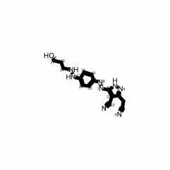 N#CCc1n[nH]c(N=Nc2ccc(NNCCCO)cc2)c1C#N